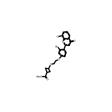 COC(=O)C1CC(OCCOc2ccc(-c3cc(=O)c4cccc(Cl)c4o3)c(Br)c2)C1